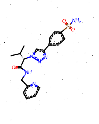 CC(C)[C@@H](C(=O)NCc1ccccn1)n1cc(-c2ccc(S(N)(=O)=O)cc2)nn1